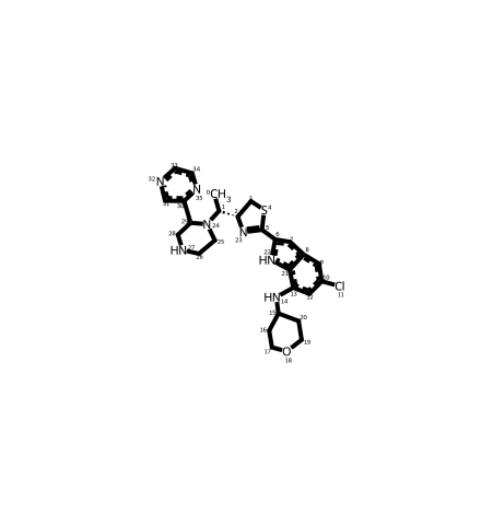 CC([C@@H]1CSC(c2cc3cc(Cl)cc(NC4CCOCC4)c3[nH]2)=N1)N1CCNCC1c1cnccn1